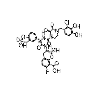 O=C(O)c1c(F)ccc2c1OB(O)[C@@H](NC(=O)[C@H](NC(=O)N1CCN(Cc3ccc(O)c(O)c3Cl)C(=O)C1=O)c1cccc(CP(=O)(O)O)c1)C2